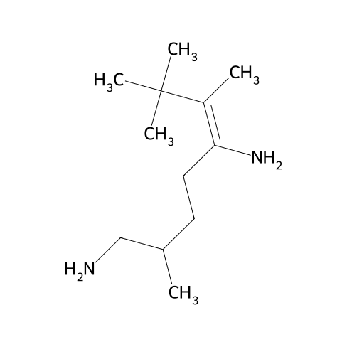 CC(=C(N)CCC(C)CN)C(C)(C)C